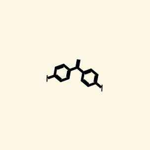 C=C(c1ccc(I)cc1)c1ccc(I)cc1